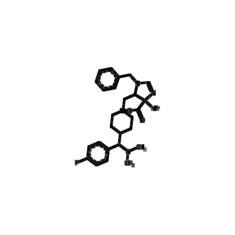 CCCC1(C(=O)OC)N=CN(Cc2ccccc2)C1CC1CCC(C(c2ccc(F)cc2)N(C)C)CC1